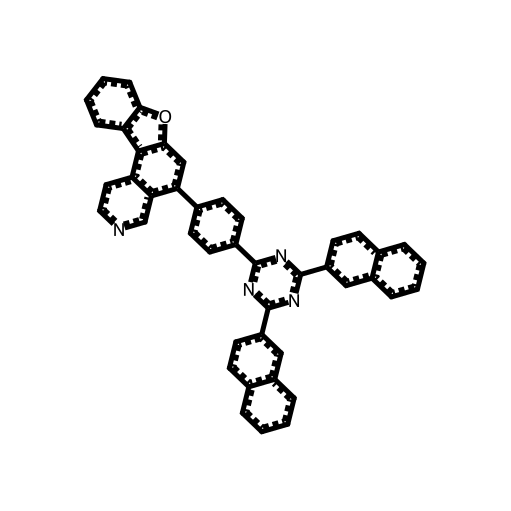 c1ccc2cc(-c3nc(-c4ccc(-c5cc6oc7ccccc7c6c6ccncc56)cc4)nc(-c4ccc5ccccc5c4)n3)ccc2c1